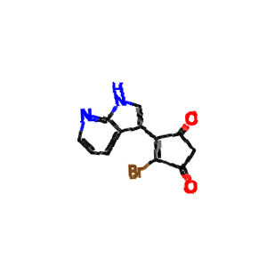 O=C1CC(=O)C(c2c[nH]c3ncccc23)=C1Br